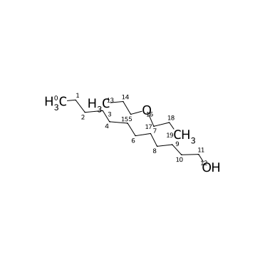 CCCCCCCCCCCCO.CCCOCCC